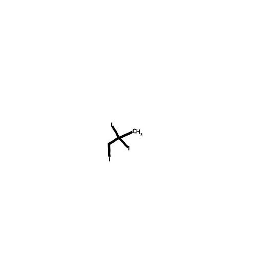 CC(I)(I)CI